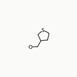 [O]CC1CCSC1